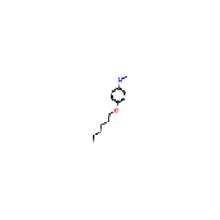 CCCCCCOc1ccc([N]C)cc1